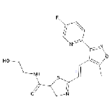 Cc1onc(-c2ccc(F)cn2)c1/C=C/C1=NCC(C(=O)NCCO)S1